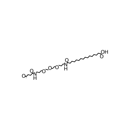 O=[C]CCC(=O)NCCCOCCOCCOCCCNC(=O)CCCCCCCCCCCCCCC(=O)O